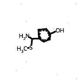 CSC(N)c1ccc(O)cc1